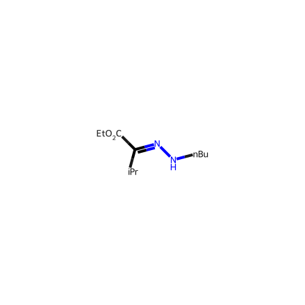 CCCCNN=C(C(=O)OCC)C(C)C